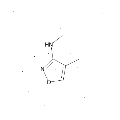 CNc1nocc1C